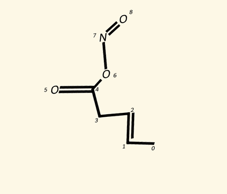 C/C=C/CC(=O)ON=O